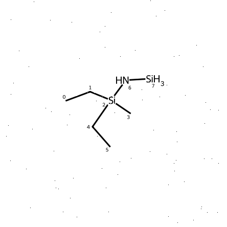 CC[Si](C)(CC)N[SiH3]